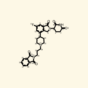 O=C1CCC(N2Cc3c(cc(F)cc3C3CCN(CCCN4C(=O)c5ccccc5C4=O)CC3)C2=O)C(=O)N1